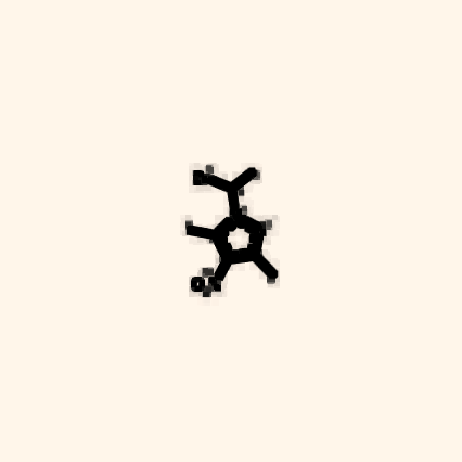 Cc1nn(C(C)Br)c(C)c1[N+](=O)[O-]